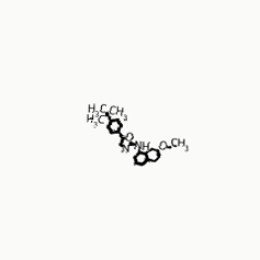 CCOC1=CCc2cccc(Nc3ncc(-c4ccc(C(C)(C)C)cc4)o3)c2C1